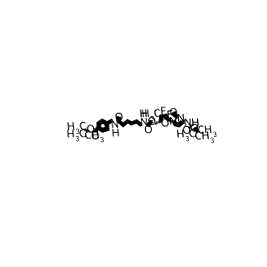 C[C@H]1[C@@H](COC(=O)NCCCCCC(=O)NCc2ccc(C(=O)OC(C)(C)C)cc2)O[C@@H](n2ccc(NC(=O)OC(C)(C)C)nc2=O)C1(F)F